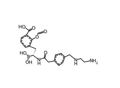 NCCNCc1ccc(CC(=O)N[C@@H](Cc2cccc(C(=O)O)c2OC=O)B(O)O)cc1